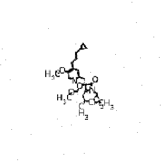 COCO[C@@]1(Cc2cc(CCCC3CC3)c(OC)cn2)C(=O)N(COC)[C@H]1CC(C)C